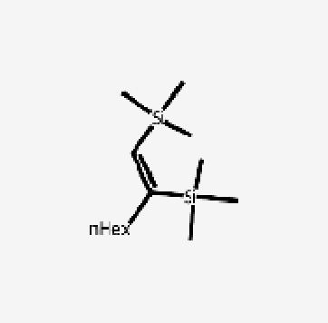 CCCCCC/C(=C/[Si](C)(C)C)[Si](C)(C)C